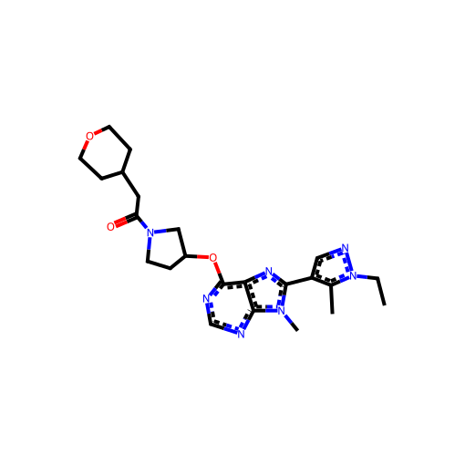 CCn1ncc(-c2nc3c(OC4CCN(C(=O)CC5CCOCC5)C4)ncnc3n2C)c1C